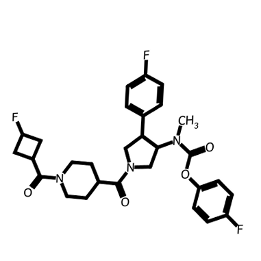 CN(C(=O)Oc1ccc(F)cc1)C1CN(C(=O)C2CCN(C(=O)C3CC(F)C3)CC2)CC1c1ccc(F)cc1